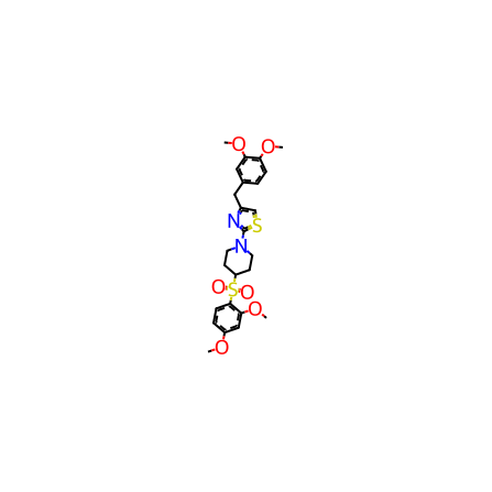 COc1ccc(S(=O)(=O)C2CCN(c3nc(Cc4ccc(OC)c(OC)c4)cs3)CC2)c(OC)c1